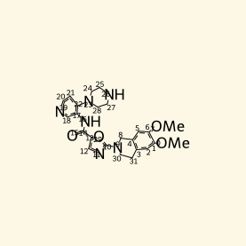 COc1cc2c(cc1OC)CN(c1ncc(C(=O)Nc3cnccc3N3CCNCC3)o1)CC2